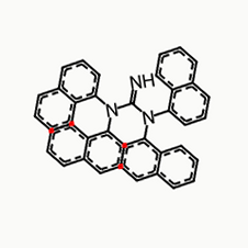 N=C(N(c1cccc2ccccc12)c1cccc2ccccc12)N(c1cccc2ccccc12)c1cccc2ccccc12